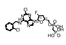 O=P(O)(O)CP(=O)(O)OC[C@@H]1C[C@H](F)[C@H](n2cnc3c(NCc4ccccc4Cl)nc(Cl)nc32)O1